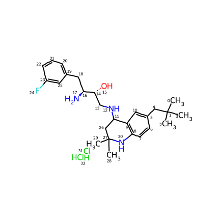 CC(C)(C)Cc1ccc2c(c1)C(NC[C@@H](O)[C@@H](N)Cc1cccc(F)c1)CC(C)(C)N2.Cl.Cl